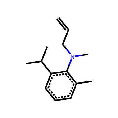 C=CCN(C)c1c(C)cccc1C(C)C